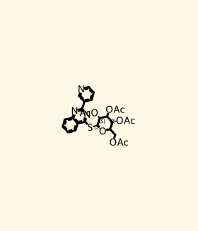 CC(=O)OCC1O[C@@H](Sc2nc(-c3cccnc3)nc3ccccc23)[C@@H](OC(C)=O)C(OC(C)=O)[C@@H]1OC(C)=O